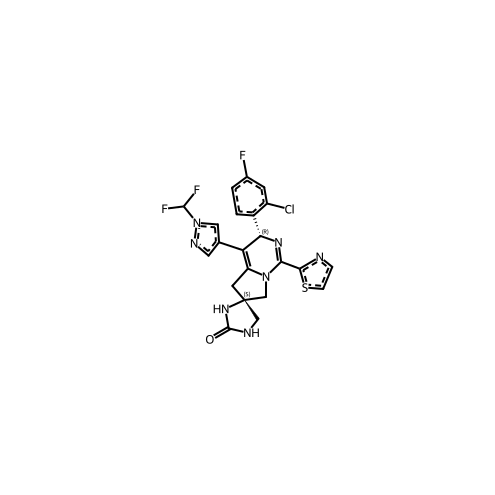 O=C1NC[C@]2(CC3=C(c4cnn(C(F)F)c4)[C@H](c4ccc(F)cc4Cl)N=C(c4nccs4)N3C2)N1